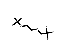 FC(F)(F)COCCOC(F)(F)F